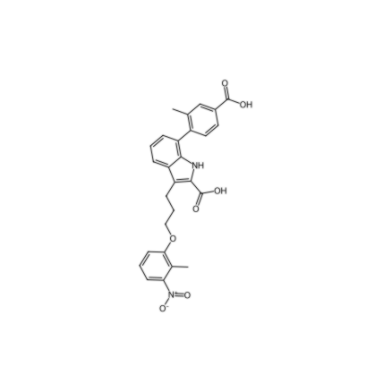 Cc1cc(C(=O)O)ccc1-c1cccc2c(CCCOc3cccc([N+](=O)[O-])c3C)c(C(=O)O)[nH]c12